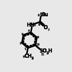 Cc1ccc(NC(=O)C(C)(C)C)cc1S(=O)(=O)O